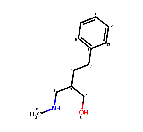 CNCC(CO)CCc1ccccc1